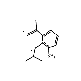 C=C(C)c1cccc(N)c1CC(C)C